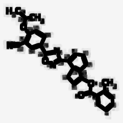 Cc1ccccc1C(=O)OC1=CCc2c1cccc2-c1noc(-c2ccc(OC(C)C)c(C#N)c2)n1